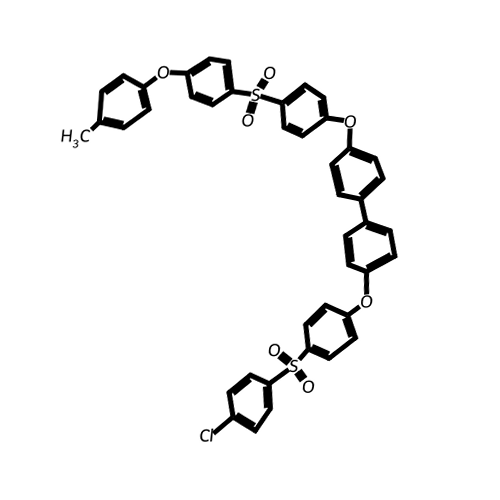 Cc1ccc(Oc2ccc(S(=O)(=O)c3ccc(Oc4ccc(-c5ccc(Oc6ccc(S(=O)(=O)c7ccc(Cl)cc7)cc6)cc5)cc4)cc3)cc2)cc1